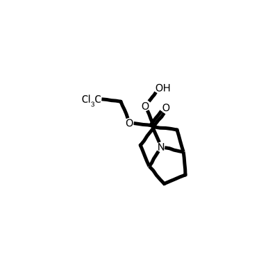 O=C(OCC(Cl)(Cl)Cl)N1C2CCC1CC(OO)C2